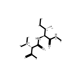 C=C(C)[C@@H](C(=O)N[C@H](C(=O)NC)[C@@H](C)CC)N(C)C